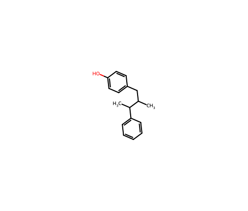 CC(Cc1ccc(O)cc1)C(C)c1ccccc1